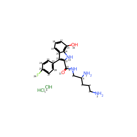 Cl.Cl.NCCC[C@H](N)CNC(=O)c1[nH]c2c(O)cccc2c1-c1ccc(F)cc1